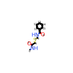 CNC(=O)CSCNC(=O)c1ccccc1